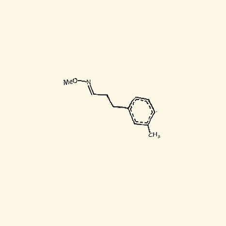 CON=CCCc1cc[c]c(C)c1